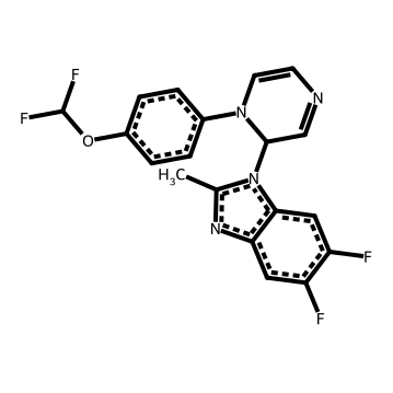 Cc1nc2cc(F)c(F)cc2n1C1C=NC=CN1c1ccc(OC(F)F)cc1